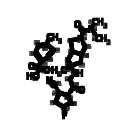 CN(C)C(=O)N1CC2CC(C)(NCC(=O)N3C[C@@H](F)C[C@H]3C#N)CC2C1.Cc1ccc(S(=O)(=O)O)cc1